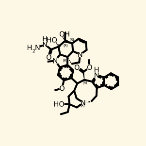 CCC1(O)CC2C[N@](CCc3c([nH]c4ccccc34)[C@H](C(=O)OC)C2c2cc3c(cc2OC)N(C)C2[C@]34CCN3CC=C[C@](CC)(C34)[C@@H](O)[C@]2(O)C(=O)NN)C1